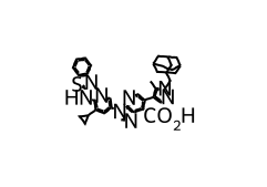 Cc1c(-c2cnc3c(ncn3-c3cnc(Nc4nc5ccccc5s4)c(C4CC4)c3)c2C(=O)O)cnn1CC12CC3CC(CC(C3)C1)C2